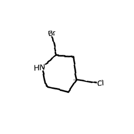 Cl[C]1CCNC(Br)C1